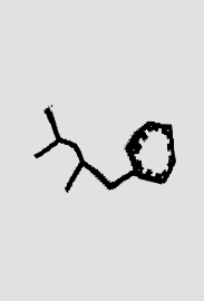 [CH2]C(C)CC(C)Cc1ccccc1